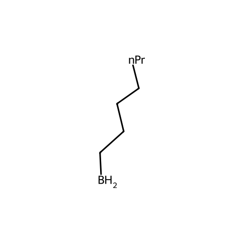 BCCCCCCC